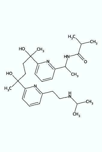 CC(C)NCCc1cccc(C(C)(O)CCC(C)(O)c2cccc(C(C)NC(=O)C(C)C)n2)n1